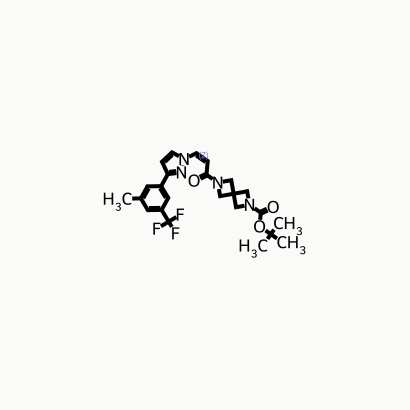 Cc1cc(-c2ccn(/C=C\C(=O)N3CC4(C3)CN(C(=O)OC(C)(C)C)C4)n2)cc(C(F)(F)F)c1